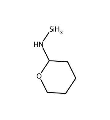 [SiH3]NC1CCCCO1